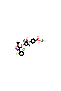 CC(C)(C)OC(=O)c1ccc(N2C(=O)[C@@H]3C[C@H]2C[C@H]3OCc2c(-c3c(F)cccc3Cl)noc2C2CC2)cc1